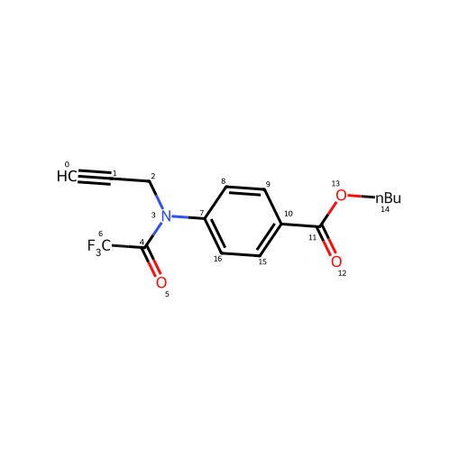 C#CCN(C(=O)C(F)(F)F)c1ccc(C(=O)OCCCC)cc1